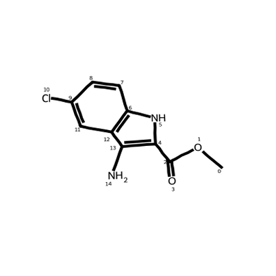 COC(=O)c1[nH]c2ccc(Cl)cc2c1N